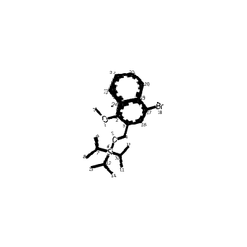 COc1c(CO[Si](C(C)C)(C(C)C)C(C)C)cc(Br)c2ccccc12